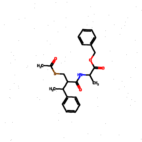 CC(=O)SCC(C(=O)NC(C)C(=O)OCc1ccccc1)C(C)c1ccccc1